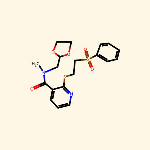 CN(CC1OCCO1)C(=O)c1cccnc1SCCS(=O)(=O)c1ccccc1